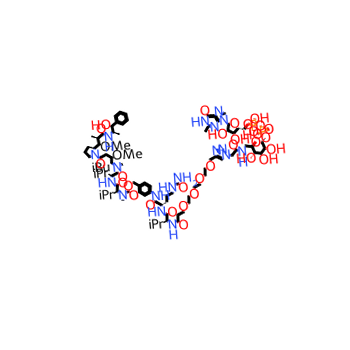 CC[C@H](C)[C@@H]([C@@H](CC(=O)N1CCC[C@H]1[C@H](OC)[C@@H](C)C(=O)N[C@H](C)[C@@H](O)c1ccccc1)OC)N(C)C(=O)[C@@H](NC(=O)[C@H](C(C)C)N(C)C(=O)OCc1ccc(NC(=O)[C@H](CCCNC(N)=O)NC(=O)[C@@H](NC(=O)CCOCCOCCOCCOCc2cn(CC(=O)NCC3O[C@H](OP(=O)(O)OP(=O)(O)OC[C@H]4O[C@@H](n5cnc6c(=O)[nH]c(C)nc65)[C@@H](O)C4O)C(O)[C@@H](O)[C@@H]3O)nn2)C(C)C)cc1)C(C)C